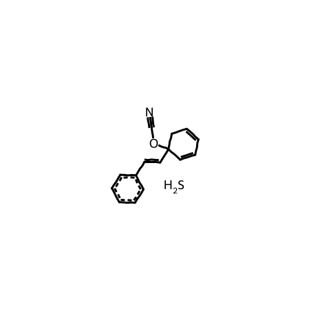 N#COC1(C=Cc2ccccc2)C=CC=CC1.S